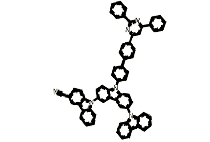 N#Cc1ccc2c(c1)c1ccccc1n2-c1ccc2c(c1)c1cc(-n3c4ccccc4c4ccccc43)ccc1n2-c1ccc(-c2ccc(-c3cc(-c4ccccc4)nc(-c4ccccc4)n3)cc2)cc1